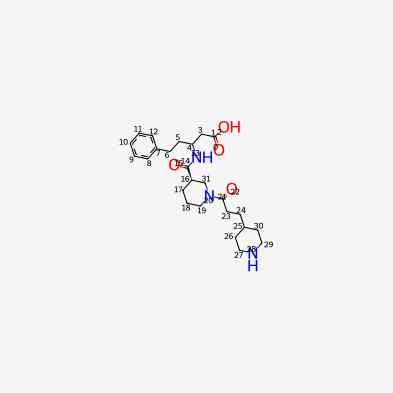 O=C(O)CC(CCc1ccccc1)NC(=O)[C@@H]1CCCN(C(=O)CCC2CCNCC2)C1